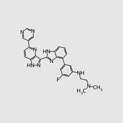 CN(C)CCNc1cc(F)cc(-c2cccc3[nH]c(-c4n[nH]c5ccc(-c6cncnc6)nc45)nc23)c1